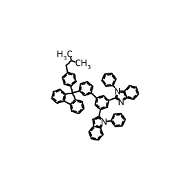 CC(C)Cc1ccc(C2(c3cccc(-c4cc(-c5cc6ccccc6n5-c5ccccc5)cc(-c5nc6ccccc6n5-c5ccccc5)c4)c3)c3ccccc3-c3ccccc32)cc1